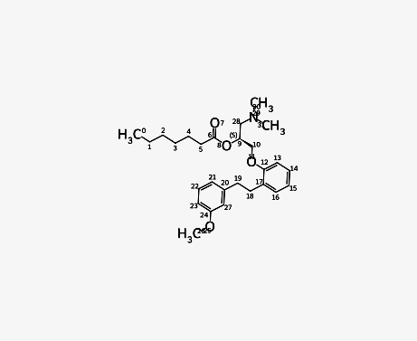 CCCCCCC(=O)O[C@H](COc1ccccc1CCc1cccc(OC)c1)CN(C)C